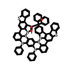 c1ccc(-c2ccc3c(c2)c2c4c(cc5c2n3B2c3cc6c(cc3N(c3ccccc3)c3cccc-5c32)N(c2ccccc2)c2cccc3c2B6n2c5ccc(-c6ccccc6)cc5c5c6c(cc-3c52)sc2ccccc26)sc2ccccc24)cc1